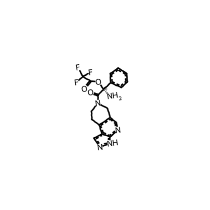 N[C@@](OC(=O)C(F)(F)F)(C(=O)N1CCc2c(cnc3[nH]ncc23)C1)c1ccccc1